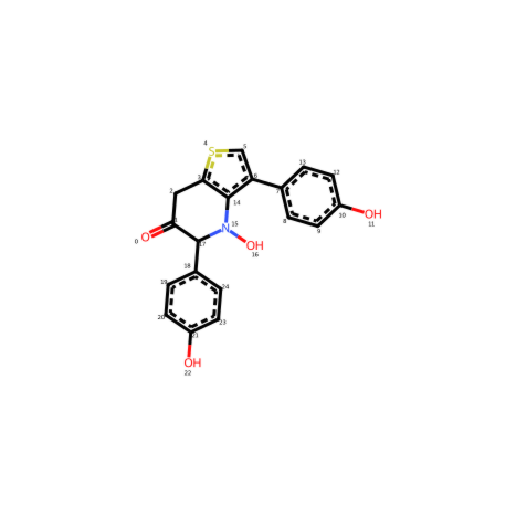 O=C1Cc2scc(-c3ccc(O)cc3)c2N(O)C1c1ccc(O)cc1